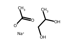 CC(=O)[O-].CC(O)CO.[Na+]